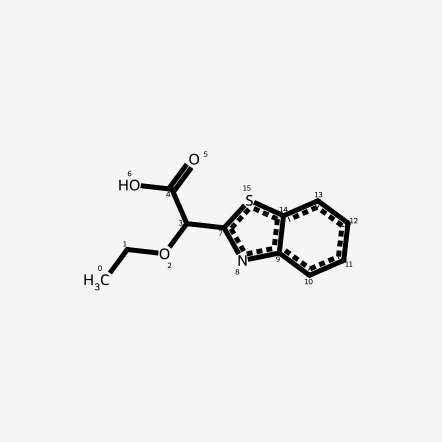 CCOC(C(=O)O)c1nc2ccccc2s1